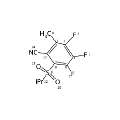 Cc1c(F)c(F)c(F)c(S(=O)(=O)C(C)C)c1C#N